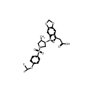 C[C@@H]1CN(S(=O)(=O)c2ccc(OC(F)F)cc2)C[C@@H]1n1nc(CC(=O)O)c2cc3c(cc21)OCO3